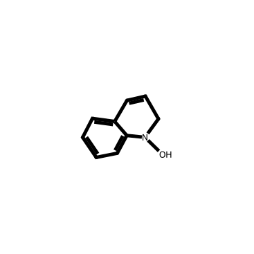 ON1CC=Cc2ccccc21